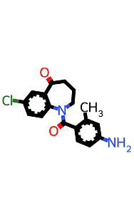 Cc1cc(N)ccc1C(=O)N1CCCC(=O)c2cc(Cl)ccc21